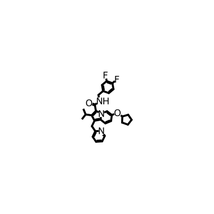 CC(C)c1c(Cc2ccccn2)c2ccc(OC3CCCC3)cn2c1C(=O)NCc1ccc(F)c(F)c1